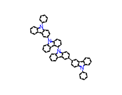 c1ccc(-n2c3ccccc3c3cc(-c4ccc5c(c4)c4ccccc4n5-c4cccc5c4c4ccccc4n5-c4ccc5c(c4)c4ccccc4n5-c4ccccc4)ccc32)cc1